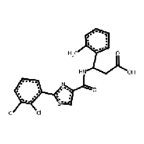 Cc1ccccc1C(CC(=O)O)NC(=O)c1csc(-c2cccc(Cl)c2Cl)n1